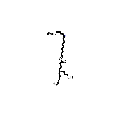 CCCCC/C=C\C/C=C\CCCCCCCCOC(=O)CCCN(CCCO)CCCCN